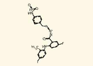 Cc1cc(I)ccc1Nc1ccc(F)cc1C(=O)N=[N+]=NCc1ccc(N[SH](=O)=O)cc1